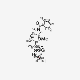 COC1CN(C(=O)c2cc(C)ccc2C)CC1Oc1cccc(NS(=O)(=O)N2C[C@H]3C[C@H]2C3)c1